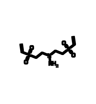 C=CS(=O)(=O)CCN(N)CCS(=O)(=O)C=C